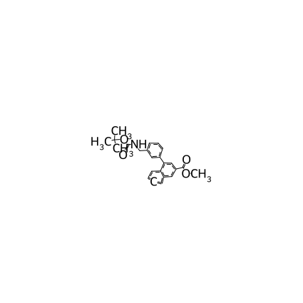 COC(=O)c1cc(-c2cccc(CNC(=O)OC(C)(C)C)c2)c2ccccc2c1